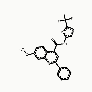 COc1ccc2c(C(=O)Nc3nc(C(F)(F)F)cs3)cc(-c3ccccc3)nc2c1